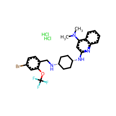 CN(C)c1cc(N[C@H]2CC[C@@H](NCc3ccc(Br)cc3OC(F)(F)F)CC2)nc2ccccc12.Cl.Cl